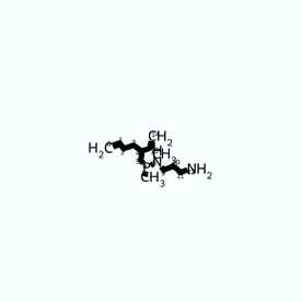 C=CCCC(CP(C)NCCCN)C(=C)C